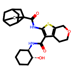 O=C(N[C@@H]1CCCC[C@H]1O)c1c(NC(=O)C23CC4CC(CC2C4)C3)sc2c1CCOC2